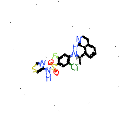 C[C@@H](Nc1cc(F)c(S(=O)(=O)Nc2cscn2)cc1Cl)c1cccc2ccncc12